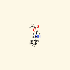 C=C(C)C(=O)OCC(C)(C)NCc1ccccc1